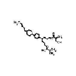 C=C(CO)C(=O)OCCCC(CCCOC(O)C(=C)C)c1ccc(C2CCC(CCCCC)CC2)cc1